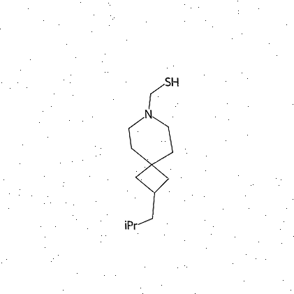 CC(C)CC1CC2(CCN(CS)CC2)C1